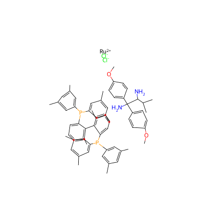 COc1ccc(C(N)(c2ccc(OC)cc2)C(N)C(C)C)cc1.Cc1cc(C)cc(P(c2cc(C)cc(C)c2)c2cccc(C)c2-c2c(C)cccc2P(c2cc(C)cc(C)c2)c2cc(C)cc(C)c2)c1.[Cl-].[Cl-].[Ru+2]